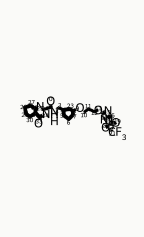 O=C(NCc1cccc(OCCCOc2ncn(S(=O)(=O)C(F)(F)F)n2)c1)c1nc2ccccc2c(=O)[nH]1